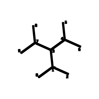 C[C](C)C(C(C)C)C(C)C